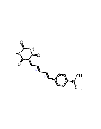 CN(C)c1ccc(/C=C/C=C/C=C2C(=O)NC(=O)NC2=O)cc1